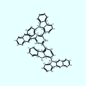 c1ccc(-n2c3ccccc3c3cccc(-c4nc(-c5ccc6ccccc6c5)nc(-c5ccc(-n6c7ccccc7c7cc8ccccc8cc76)c6sc7ccccc7c56)n4)c32)cc1